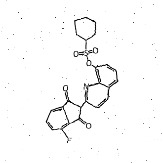 O=C1c2cccc(F)c2C(=O)C1c1ccc2cccc(OS(=O)(=O)C3CCCCC3)c2n1